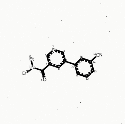 CCN(CC)C(=O)c1cncc(-c2cccc(C#N)c2)c1